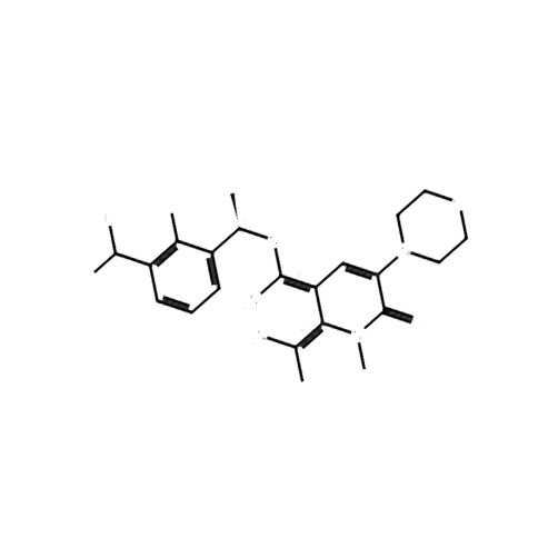 C/C(N)=c1/c(=C(\N)N[C@H](C)c2cccc(C(F)F)c2F)cc(N2CCOCC2)c(=O)n1C